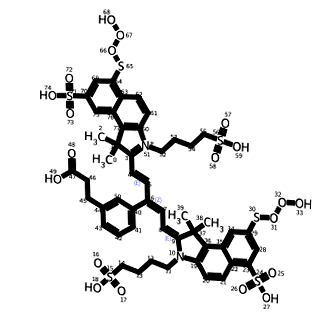 CC1(C)C(/C=C/C(=C/C=C2/N(CCCCS(=O)(=O)O)c3ccc4c(S(=O)(=O)O)cc(SOOO)cc4c3C2(C)C)c2cccc(CCC(=O)O)c2)=[N+](CCCCS(=O)(=O)O)c2ccc3c(SOOO)cc(S(=O)(=O)O)cc3c21